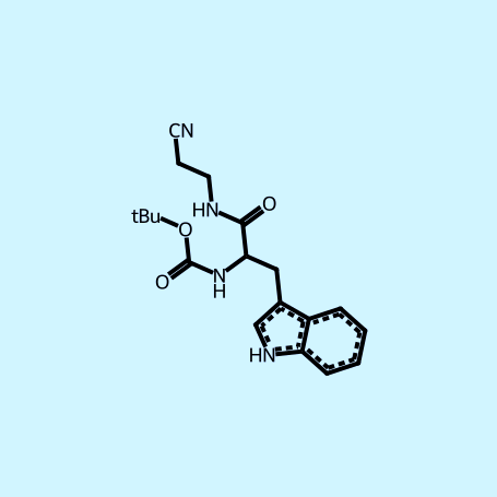 CC(C)(C)OC(=O)NC(Cc1c[nH]c2ccccc12)C(=O)NCCC#N